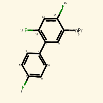 [CH2]CCc1cc(-c2ccc(F)cc2)c(F)cc1F